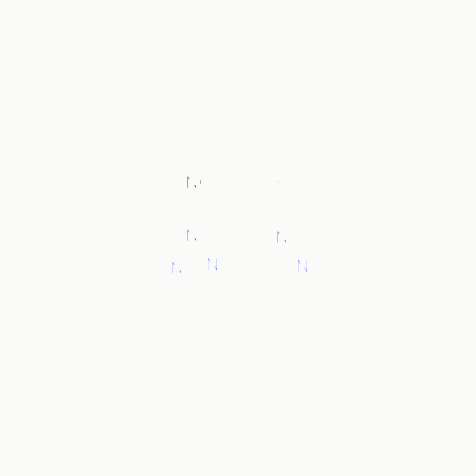 CC1C=CC(c2nc(-c3ccccc3)nc(-c3ccc(-c4ccccc4-c4cc(-c5ccccc5)nc(-c5ccccc5)n4)c(-c4ccccc4C#N)c3)n2)=CC1